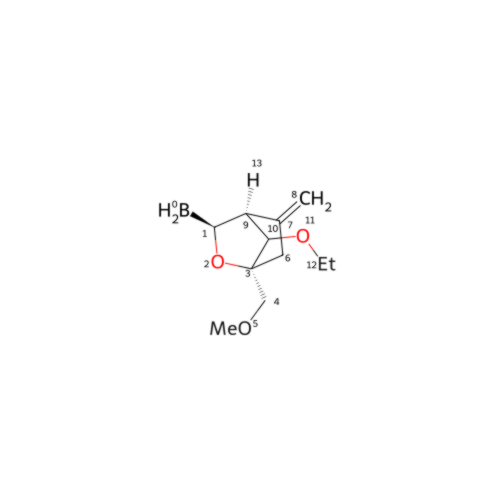 B[C@@H]1O[C@]2(COC)CC(=C)[C@H]1C2OCC